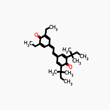 CCC1=CC(=CC=C2C=C(C(C)(C)CC)C(=O)C(C(C)(C)CC)=C2)C=C(CC)C1=O